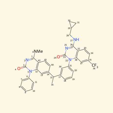 CNc1nc(=O)n(-c2ccccc2)c2cc(C(C)c3cccc(-n4c(=O)nc(NCC5CC5)c5ccc(C(F)(F)F)cc54)c3)ccc12